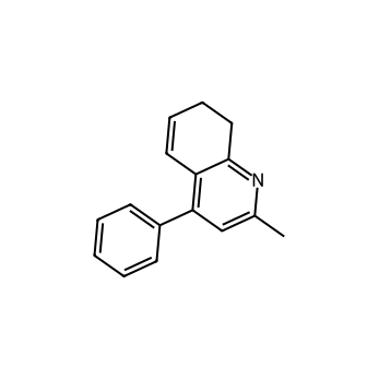 Cc1cc(-c2ccccc2)c2c(n1)CCC=C2